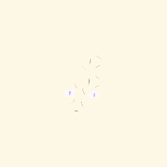 O=c1[nH]c2ccccc2c2[nH]c3ccc(-c4ccccc4[N+](=O)[O-])cc3c12